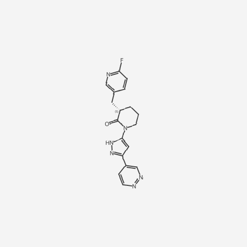 O=C1[C@H](Cc2ccc(F)nc2)CCCN1c1cc(-c2ccnnc2)n[nH]1